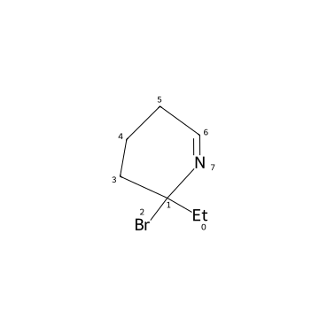 CCC1(Br)CCCC=N1